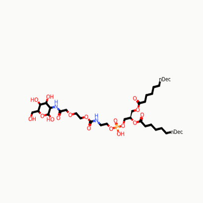 CCCCCCCCCCCCCCCC(=O)OC[C@H](COP(=O)(O)OCCNC(=O)OCCOCC(=O)NC1C(O)OC(CO)C(O)C1O)OC(=O)CCCCCCCCCCCCCCC